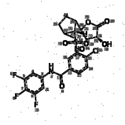 O=C(Nc1cc(F)c(F)c(F)c1)c1ccc(Cl)c(S(=O)(=O)[C@@H]2C3CCC2[C@@]2(C3)OC(=O)[C@@H](O)[C@@H]2O)c1